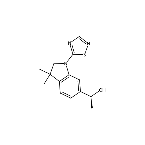 C[C@H](O)c1ccc2c(c1)N(c1ncns1)CC2(C)C